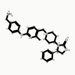 Cc1nc(Oc2ccc(CN)cc2)ccc1CN1CCC(N2C(=O)OC[C@H]2c2ccccc2)CC1